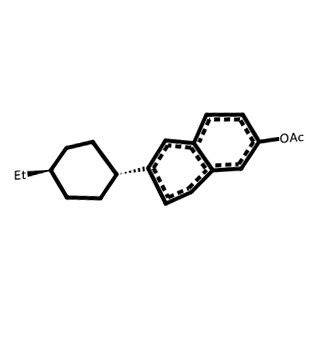 CC[C@H]1CC[C@H](c2ccc3cc(OC(C)=O)ccc3c2)CC1